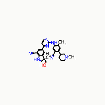 Cc1cc(C2CCCN(C)C2)c(C#N)cc1Nc1nccc(-c2cc(C#N)c3c(c2)[C@@](C)(CO)CN3)n1